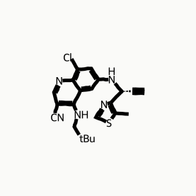 C#C[C@@H](Nc1cc(Cl)c2ncc(C#N)c(NCC(C)(C)C)c2c1)c1ncsc1C